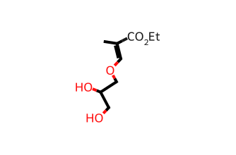 CCOC(=O)C(C)=COCC(O)CO